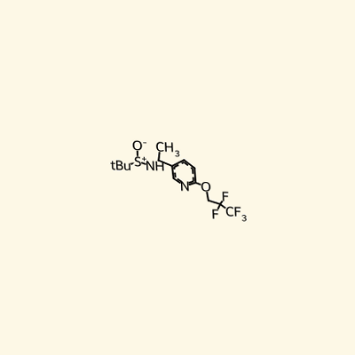 CC(N[S@+]([O-])C(C)(C)C)c1ccc(OCC(F)(F)C(F)(F)F)nc1